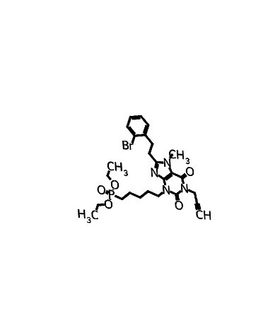 C#CCn1c(=O)c2c(nc(CCc3ccccc3Br)n2C)n(CCCCCP(=O)(OCC)OCC)c1=O